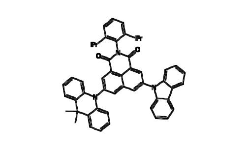 CC(C)c1cccc(C(C)C)c1N1C(=O)c2cc(N3c4ccccc4C(C)(C)c4ccccc43)cc3cc(-n4c5ccccc5c5ccccc54)cc(c23)C1=O